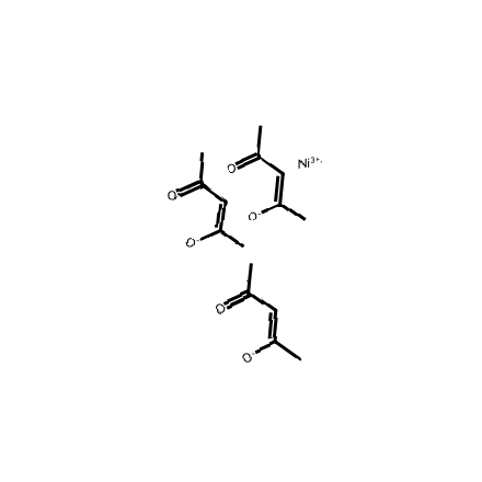 CC(=O)/C=C(/C)[O-].CC(=O)/C=C(/C)[O-].CC(=O)/C=C(/C)[O-].[Ni+3]